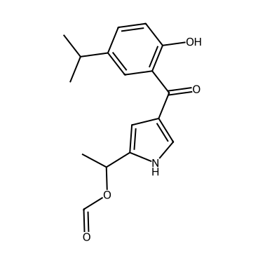 CC(C)c1ccc(O)c(C(=O)c2c[nH]c(C(C)OC=O)c2)c1